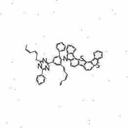 C=C/C=C\C=C\c1cc(-c2nc(C/C=C\C=C/C)nc(-c3ccccc3)n2)cc(-c2ccccc2)c1-n1c2ccccc2c2c3sc4c(ccc5sc6ccccc6c54)c3ccc21